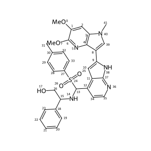 COc1cc2c(nc1OC)c(-c1cc3c(C(NC(CO)c4ccccc4)S(=O)(=O)c4ccc(C)cc4)ccnc3[nH]1)cn2C